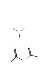 CC(=O)OC(C)=O.CCN(CC)CC